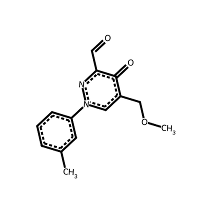 COCc1cn(-c2cccc(C)c2)nc(C=O)c1=O